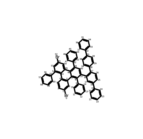 Brc1ccc2c(c1)c1c(-c3ccccc3)c(-c3cc(-c4ccccc4)ccc3-c3ccc(-c4ccccc4)cc3)cc(-c3ccccc3)c1c1cc(Br)cc(-c3ccccc3)c21